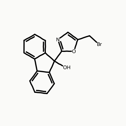 OC1(c2ncc(CBr)o2)c2ccccc2-c2ccccc21